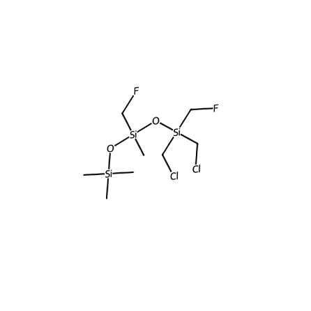 C[Si](C)(C)O[Si](C)(CF)O[Si](CF)(CCl)CCl